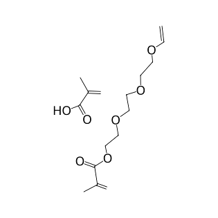 C=C(C)C(=O)O.C=COCCOCCOCCOC(=O)C(=C)C